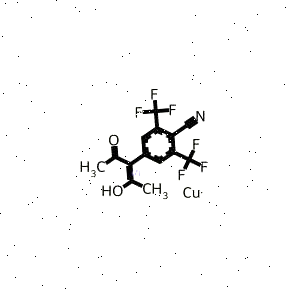 CC(=O)/C(=C(/C)O)c1cc(C(F)(F)F)c(C#N)c(C(F)(F)F)c1.[Cu]